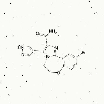 NC(=O)c1nc2n(c1-c1cn[nH]c1)CCOc1ccc(Br)cc1-2